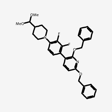 COC(OC)C1CCN(c2ccc(-c3ccc(OCc4ccccc4)nc3OCc3ccccc3)c(F)c2F)CC1